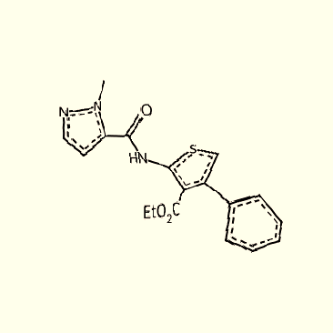 CCOC(=O)c1c(-c2ccccc2)csc1NC(=O)c1ccnn1C